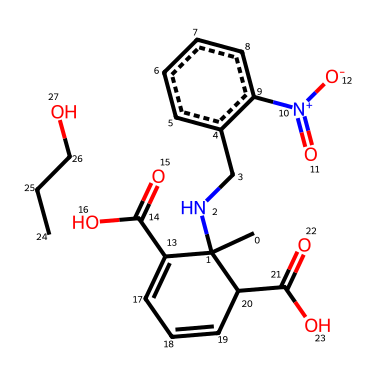 CC1(NCc2ccccc2[N+](=O)[O-])C(C(=O)O)=CC=CC1C(=O)O.CCCO